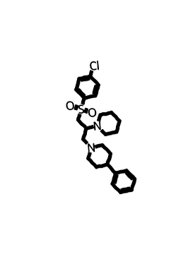 O=S(=O)(CC(CN1CCC(c2ccccc2)CC1)N1CCCCC1)c1ccc(Cl)cc1